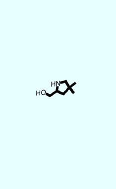 CC1(C)CNC(CO)C1